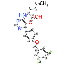 CCCCC(Nc1cc(-c2ccc(OCc3cc(F)cc(F)c3)cc2)ncn1)C(=O)O